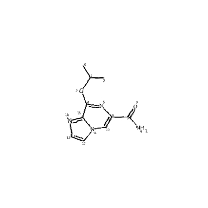 CC(C)Oc1nc(C(N)=O)cn2ccnc12